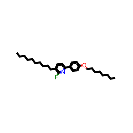 CCCCCCCCCCc1ccc(-c2ccc(OCCCCCCCC)cc2)nc1F